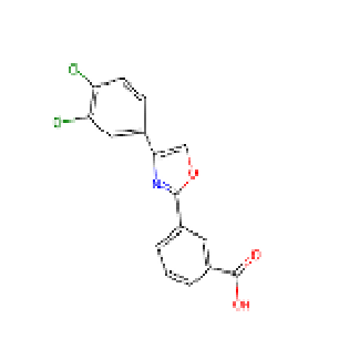 O=C(O)c1cccc(-c2nc(-c3ccc(Cl)c(Cl)c3)co2)c1